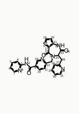 O=C(Nc1ccccn1)c1ccc(CN2C(=O)c3sccc3NC(=O)C2Cc2ccccn2)nc1